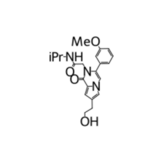 COc1cccc(-c2cn3cc(CCO)cc3c(=O)n2CC(=O)NC(C)C)c1